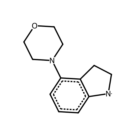 c1cc2c(c(N3CCOCC3)c1)CC[N]2